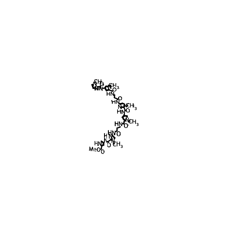 COC(=O)c1cc(NC(=O)c2nc(NC(=O)CCNC(=O)c3cc(NC(=O)c4nc(NC(=O)CCNC(=O)c5cc(NC(=O)c6nccn6C)cn5C)cn4C)cn3C)cn2C)c[nH]1